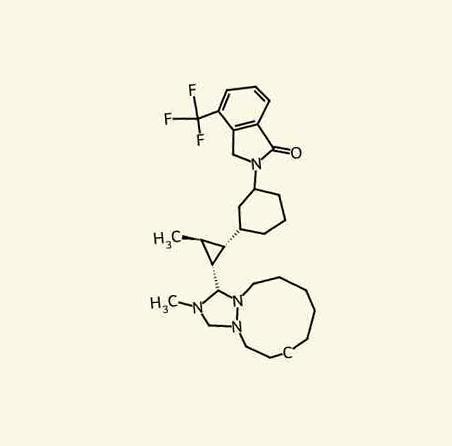 C[C@@H]1[C@@H](C2N(C)CN3CCCCCCCCN23)[C@H]1C1CCCC(N2Cc3c(cccc3C(F)(F)F)C2=O)C1